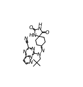 CC(C)(C)CN(N=C1CCC2(CC1)NC(=O)NC2=O)c1nc(C#N)nc2ccnn12